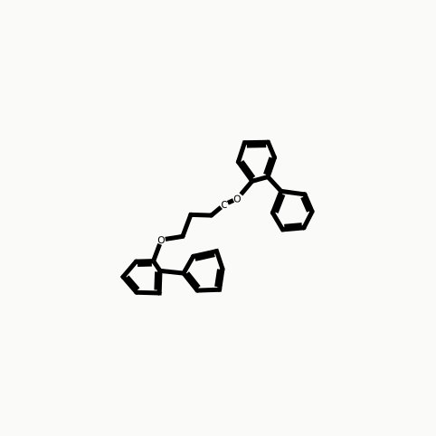 c1ccc(-c2ccccc2OCCCCOc2ccccc2-c2ccccc2)cc1